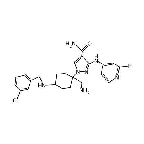 NCC1(n2cc(C(N)=O)c(Nc3ccnc(F)c3)n2)CCC(NCc2cccc(Cl)c2)CC1